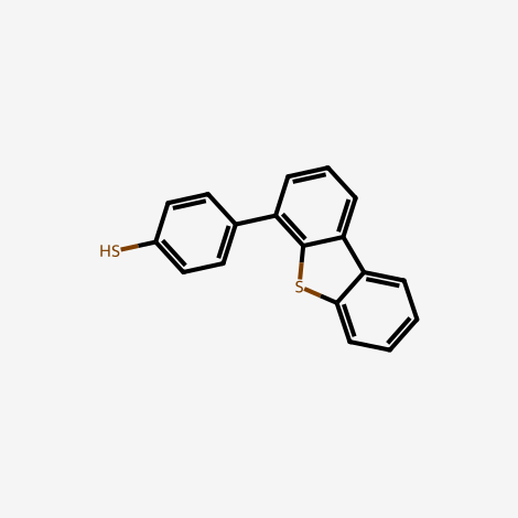 Sc1ccc(-c2cccc3c2sc2ccccc23)cc1